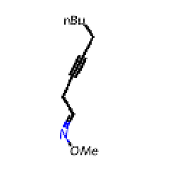 [CH2]CCCCC#CCC=NOC